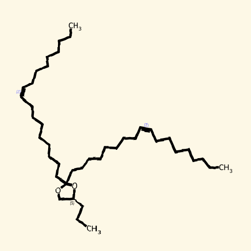 CCCCCCCC/C=C\CCCCCCCCC1(CCCCCCCC/C=C\CCCCCCCC)OC[C@H](CCC)O1